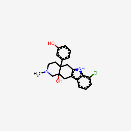 CN1CCC2(c3cccc(O)c3)Cc3[nH]c4c(Cl)cccc4c3CC2(O)C1